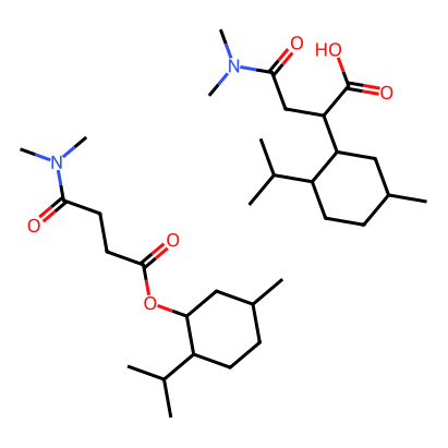 CC1CCC(C(C)C)C(C(CC(=O)N(C)C)C(=O)O)C1.CC1CCC(C(C)C)C(OC(=O)CCC(=O)N(C)C)C1